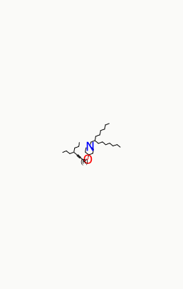 CCCCCCCC(CCCCCC)CN1CCC(O[C@H](C)C#CC(CCC)CCC)CC1